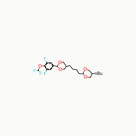 CCCCC1COC(CCCCC2COC(c3cc(F)c(OC(F)F)c(F)c3)OC2)OC1